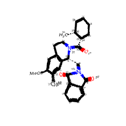 COc1cc2c(cc1OC)[C@@H](CN1C(=O)c3ccccc3C1=O)N(C(=O)[C@H]1CCCC[C@H]1C)CC2